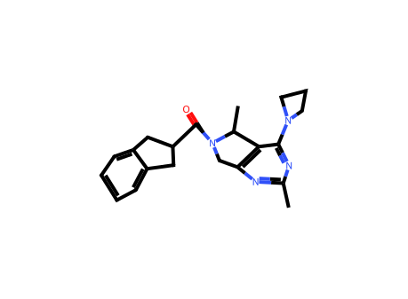 Cc1nc2c(c(N3CCC3)n1)C(C)N(C(=O)C1Cc3ccccc3C1)C2